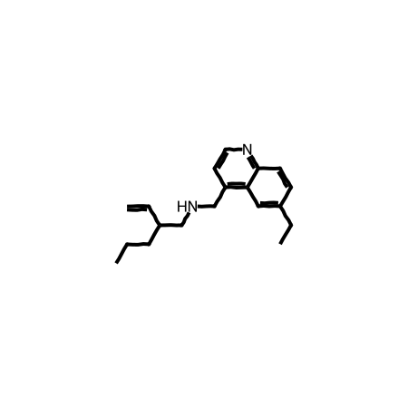 C=CC(CCC)CNCc1ccnc2ccc(CC)cc12